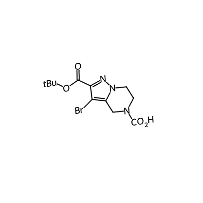 CC(C)(C)OC(=O)c1nn2c(c1Br)CN(C(=O)O)CC2